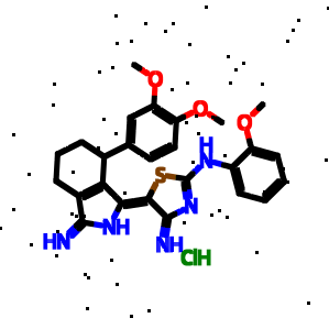 COc1ccccc1NC1=NC(=N)C(=C2NC(=N)C3=C2C(c2ccc(OC)c(OC)c2)CCC3)S1.Cl